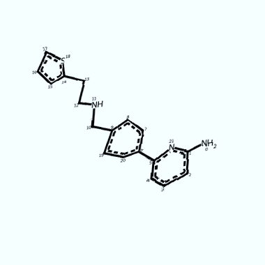 Nc1cccc(-c2ccc(CNCCc3cccs3)cc2)n1